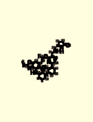 CSc1nc2c(Nc3cccc(-c4cccc(-c5cnc(CNC[C@@H]6CCC(=O)N6)c(OC(F)F)n5)c4Cl)c3Cl)nccc2o1